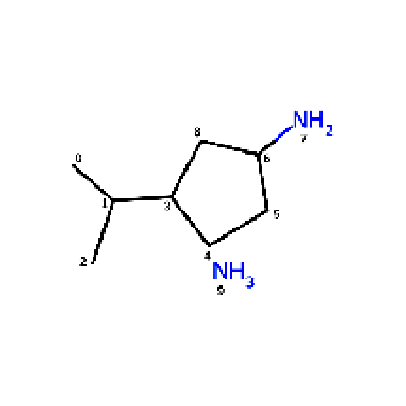 CC(C)C1CCC(N)C1.N